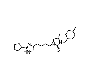 CC1CCC(CN2C(=S)N(CCCC[C@H]3CNC(C4CCCC4)=N3)C[C@H]2C)CC1